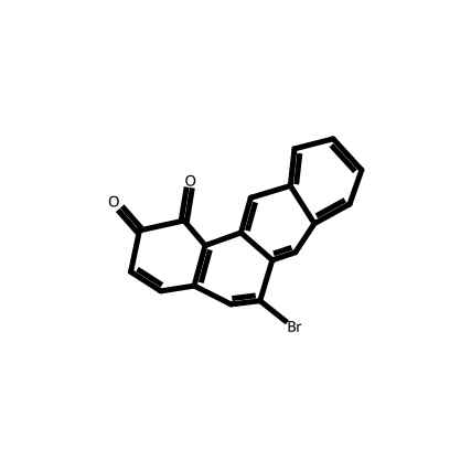 O=C1C=Cc2cc(Br)c3cc4ccccc4cc3c2C1=O